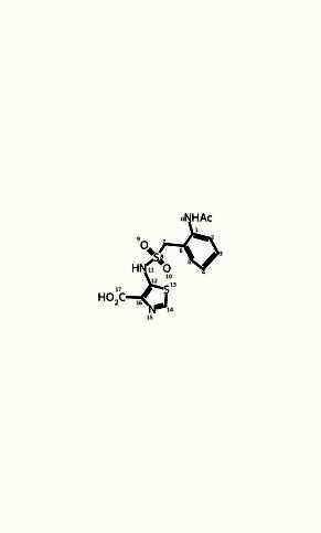 CC(=O)Nc1ccccc1CS(=O)(=O)Nc1scnc1C(=O)O